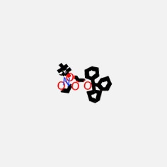 CC(C)(C)[Si](C)(C)OCC(COC(c1ccccc1)(c1ccccc1)c1ccccc1)Oc1ccon1